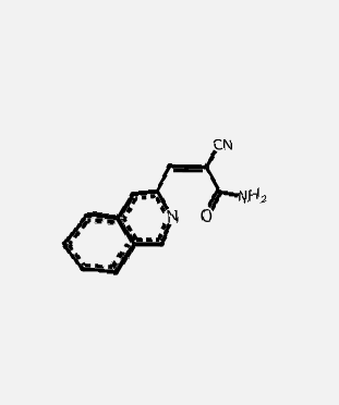 N#CC(=Cc1cc2ccccc2cn1)C(N)=O